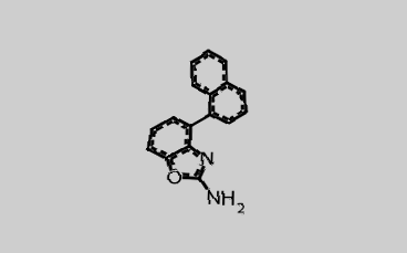 Nc1nc2c(-c3cccc4ccccc34)cccc2o1